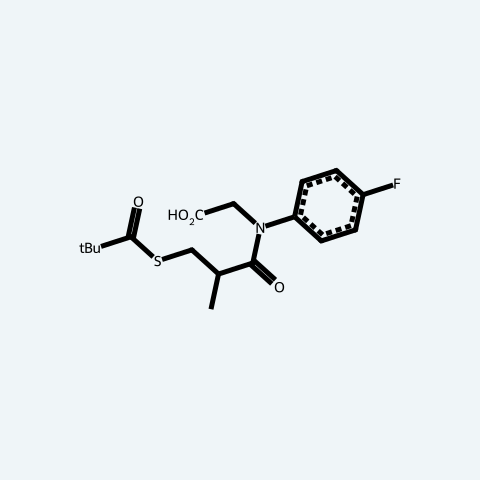 CC(CSC(=O)C(C)(C)C)C(=O)N(CC(=O)O)c1ccc(F)cc1